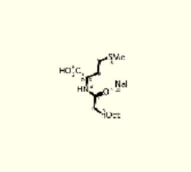 CCCCCCCCCC(=O)N[C@@H](CCSC)C(=O)O.[NaH]